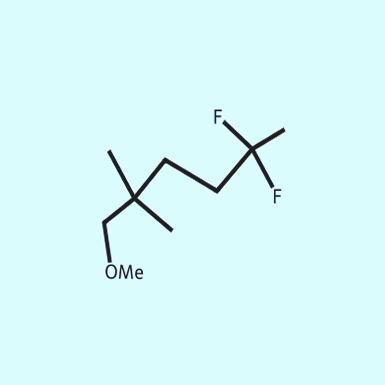 COCC(C)(C)CCC(C)(F)F